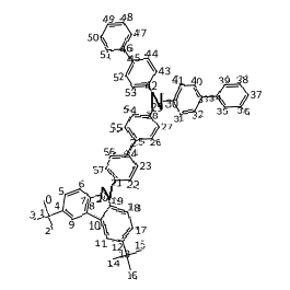 CC(C)(C)c1ccc2c(c1)c1cc(C(C)(C)C)ccc1n2-c1ccc(-c2ccc(N(c3ccc(-c4ccccc4)cc3)c3ccc(-c4ccccc4)cc3)cc2)cc1